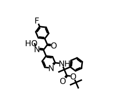 CC(C)(C)OC(=O)C(C)(Nc1cc(C(=NO)C(=O)c2ccc(F)cc2)ccn1)c1ccccc1